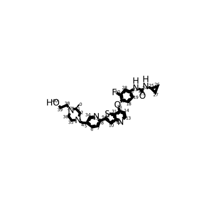 C[C@H]1CN(Cc2ccc(-c3cc4nccc(Oc5ccc(NC(=O)NC6CC6)cc5F)c4s3)nc2)CCN1CCO